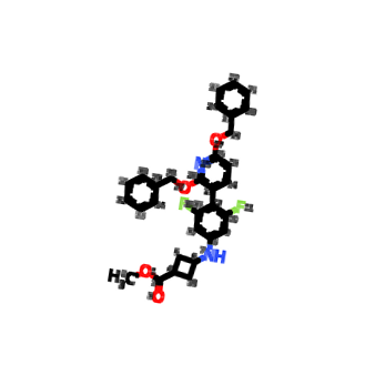 COC(=O)C1CC(Nc2cc(F)c(-c3ccc(OCc4ccccc4)nc3OCc3ccccc3)c(F)c2)C1